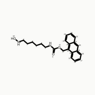 O=C(NCCCCCCNO)OCc1c2ccccc2cc2ccccc12